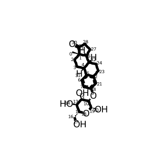 C[C@]12CC[C@@H]3c4ccc(O[C@@H]5[C@@H](O)[C@H](O)[C@@H](CO)O[C@H]5O)cc4CC[C@H]3[C@@H]1CCC2=O